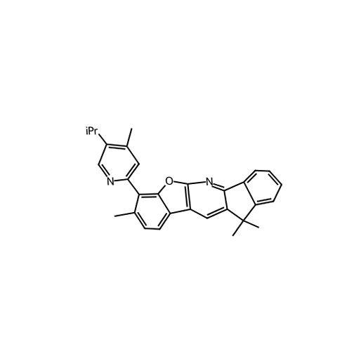 Cc1cc(-c2c(C)ccc3c2oc2nc4c(cc23)C(C)(C)c2ccccc2-4)ncc1C(C)C